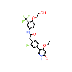 CCOc1cc(=O)[nH]cc1-c1ccc(CC(=O)Nc2ccc(OCCO)c(C(F)(F)F)c2)c(F)c1